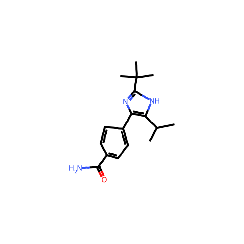 CC(C)c1[nH]c(C(C)(C)C)nc1-c1ccc(C(N)=O)cc1